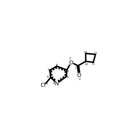 O=C(Oc1ccc(Cl)nc1)C1CCC1